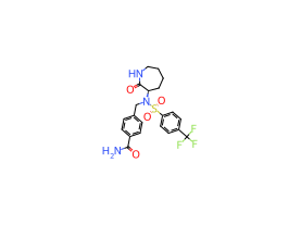 NC(=O)c1ccc(CN([C@@H]2CCCCNC2=O)S(=O)(=O)c2ccc(C(F)(F)F)cc2)cc1